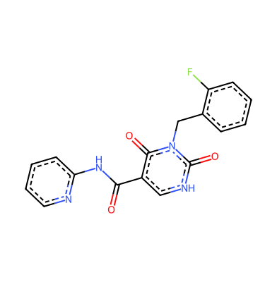 O=C(Nc1ccccn1)c1c[nH]c(=O)n(Cc2ccccc2F)c1=O